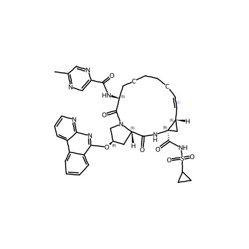 Cc1cnc(C(=O)N[C@H]2CCCCC/C=C\[C@@H]3C[C@@]3(C(=O)NS(=O)(=O)C3CC3)NC(=O)[C@@H]3C[C@@H](Oc4nc5ncccc5c5ccccc45)CN3C2=O)cn1